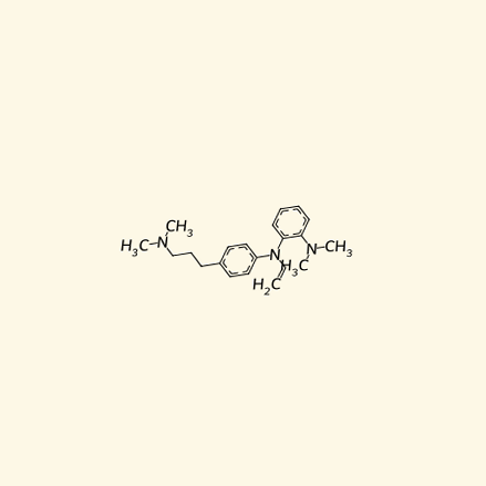 C=CN(c1ccc(CCCN(C)C)cc1)c1ccccc1N(C)C